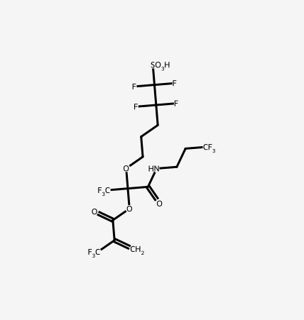 C=C(C(=O)OC(OCCCC(F)(F)C(F)(F)S(=O)(=O)O)(C(=O)NCCC(F)(F)F)C(F)(F)F)C(F)(F)F